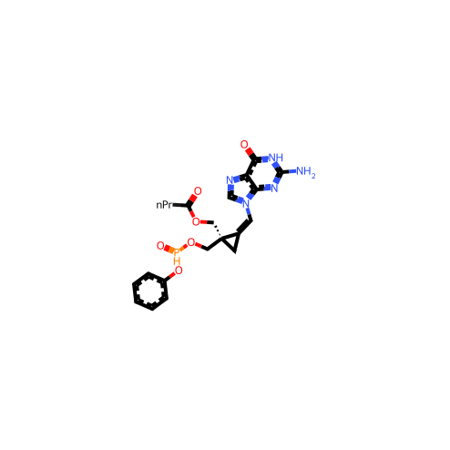 CCCC(=O)OC[C@@]1(CO[PH](=O)Oc2ccccc2)C/C1=C/n1cnc2c(=O)[nH]c(N)nc21